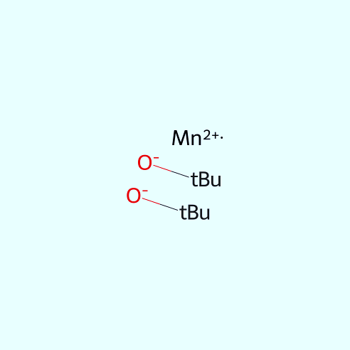 CC(C)(C)[O-].CC(C)(C)[O-].[Mn+2]